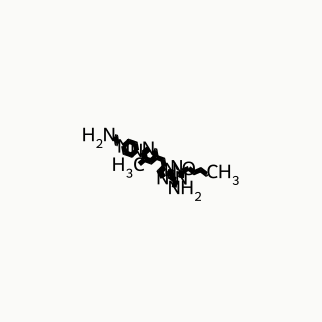 CCCCOc1nc(N)c2ncc(Cc3cnc(N4CCN(CCN)CC4)c(C)c3)n2n1